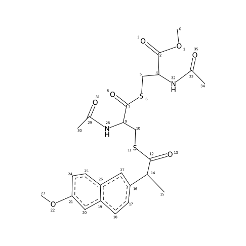 COC(=O)C(CSC(=O)C(CSC(=O)C(C)c1ccc2cc(OC)ccc2c1)NC(C)=O)NC(C)=O